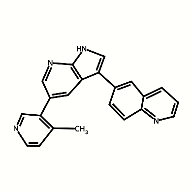 Cc1ccncc1-c1cnc2[nH]cc(-c3ccc4ncccc4c3)c2c1